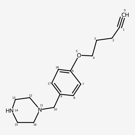 C#CCCCOc1ccc(CN2CCNCC2)cc1